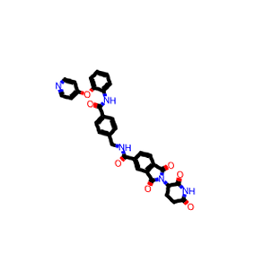 O=C1CCC(N2C(=O)c3ccc(C(=O)NCc4ccc(C(=O)Nc5ccccc5Oc5ccncc5)cc4)cc3C2=O)C(=O)N1